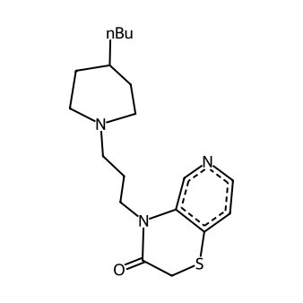 CCCCC1CCN(CCCN2C(=O)CSc3ccncc32)CC1